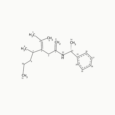 C=C(CC(=C(C)C)C(C)CCC)N[C@H](C)c1ccccc1